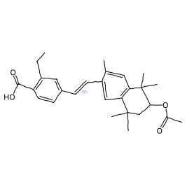 CCc1cc(/C=C/c2cc3c(cc2C)C(C)(C)C(OC(C)=O)CC3(C)C)ccc1C(=O)O